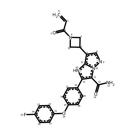 C=CC(=O)N1CC(c2cnn3c(C(N)=O)c(-c4ccc(Oc5ccc(F)cc5)cc4)[nH]c23)C1